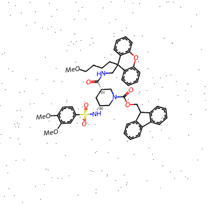 COCCCCC1(CNC(=O)[C@H]2C[C@@H](NS(=O)(=O)c3ccc(OC)c(OC)c3)CN(C(=O)OCC3c4ccccc4-c4ccccc43)C2)c2ccccc2Oc2ccccc21